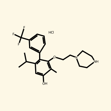 Cc1c(O)cc(C(C)C)c(-c2cccc(C(F)(F)F)c2)c1OCCN1CCNCC1.Cl